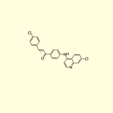 O=C(/C=C/c1ccc(Cl)cc1)c1ccc(Nc2ccnc3cc(Cl)ccc23)cc1